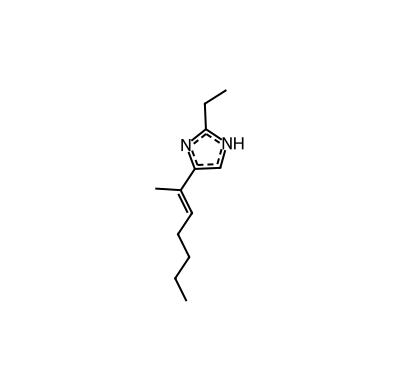 CCCCC=C(C)c1c[nH]c(CC)n1